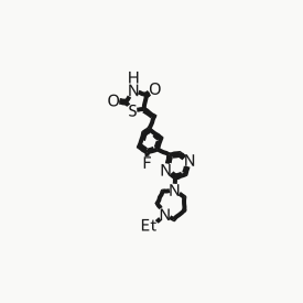 CCN1CCCN(c2cncc(-c3cc(/C=C4\SC(=O)NC4=O)ccc3F)n2)CC1